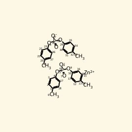 Cc1ccc(OP(=O)([O-])Oc2ccc(C)cc2)cc1.Cc1ccc(OP(=O)([O-])Oc2ccc(C)cc2)cc1.[Zn+2]